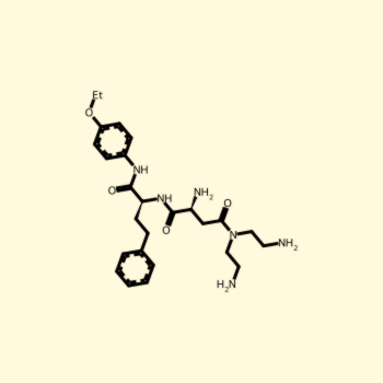 CCOc1ccc(NC(=O)[C@H](CCc2ccccc2)NC(=O)[C@@H](N)CC(=O)N(CCN)CCN)cc1